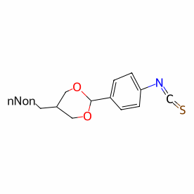 CCCCCCCCCCC1COC(c2ccc(N=C=S)cc2)OC1